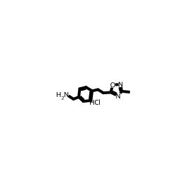 Cc1noc(CCc2ccc(CN)cc2)n1.Cl